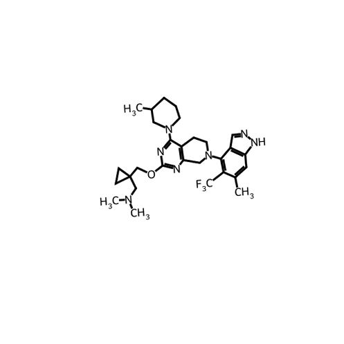 Cc1cc2[nH]ncc2c(N2CCc3c(nc(OCC4(CN(C)C)CC4)nc3N3CCCC(C)C3)C2)c1C(F)(F)F